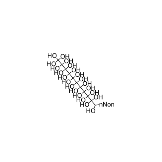 CCCCCCCCCC(O)C(O)(O)C(O)(O)C(O)(O)C(O)(O)C(O)(O)C(O)(O)C(O)(O)C(O)(O)C(O)(O)C(O)(O)O